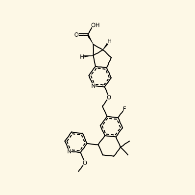 COc1ncccc1C1CCC(C)(C)c2cc(F)c(COc3cc4c(cn3)[C@H]3[C@@H](C4)[C@@H]3C(=O)O)cc21